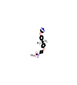 CC(C)(C)OC(=O)N[C@H]1C[C@H](Oc2ccc(C(C)(C)c3ccc(Oc4cncnc4)cc3)cc2)C1